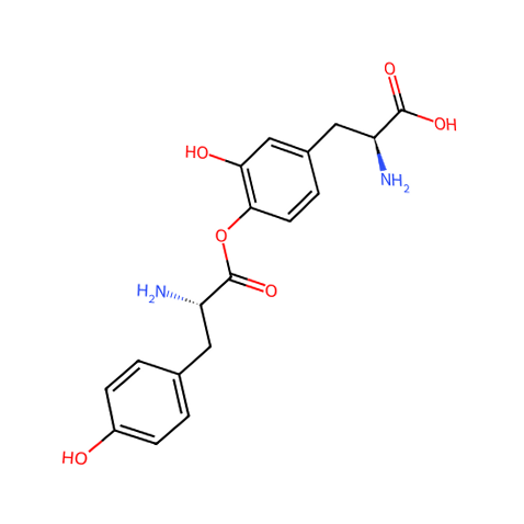 N[C@@H](Cc1ccc(OC(=O)[C@@H](N)Cc2ccc(O)cc2)c(O)c1)C(=O)O